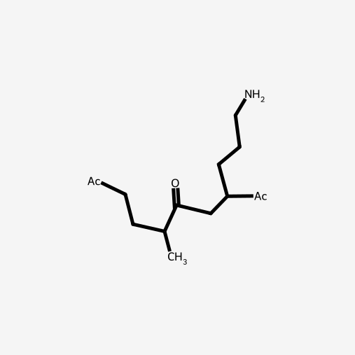 CC(=O)CCC(C)C(=O)CC(CCCN)C(C)=O